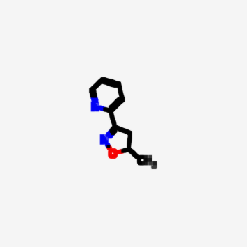 CC1CC(c2ccccn2)=NO1